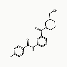 Cc1ccc(C(=O)Nc2c[c]cc(C(=O)N3CCC[C@H](CO)C3)c2)cc1